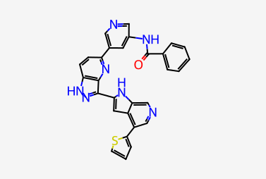 O=C(Nc1cncc(-c2ccc3[nH]nc(-c4cc5c(-c6cccs6)cncc5[nH]4)c3n2)c1)c1ccccc1